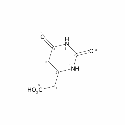 O=C(O)CC1CC(=O)NC(=O)N1